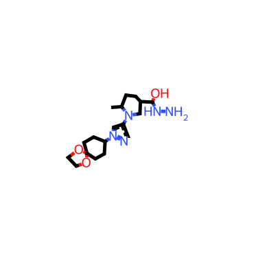 CC1CCC(C(O)NN)CN1c1cnn(C2CCC3(CC2)OCCO3)c1